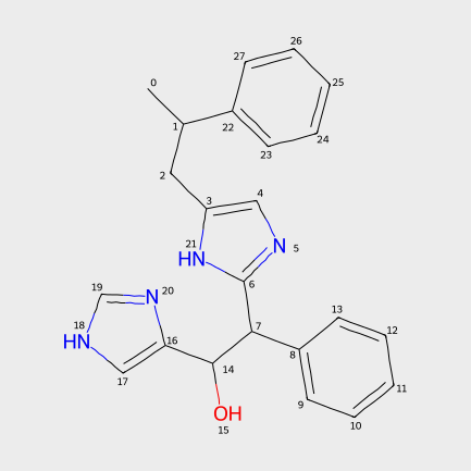 CC(Cc1cnc(C(c2ccccc2)C(O)c2c[nH]cn2)[nH]1)c1ccccc1